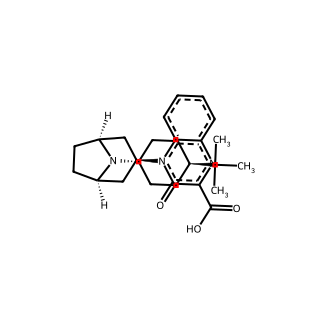 CC(C)(C)[C@H]1CC[C@H](N2[C@@H]3CC[C@H]2C[C@@H](n2c(=O)c(C(=O)O)nc4ccccc42)C3)CC1